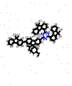 CCC1CC2CC(C)C3(c4ccc(-c5nc(-c6cccc7c6-c6ccccc6C7(C)C)nc(-c6cccc7c6-c6ccccc6C7(C)C)n5)cc4-c4ccc(-c5ccc6c(c5)C(C)(C)c5ccccc5-6)cc43)C(C1)C2